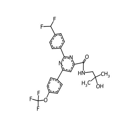 CC(C)(O)CNC(=O)c1cc(-c2ccc(OC(F)(F)F)cc2)nc(-c2ccc(C(F)F)cc2)n1